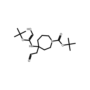 CC(C)(C)OC(=O)N1CCCC(CC=O)(N/C(=C/O)OC(C)(C)C)CC1